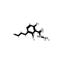 CCCCc1ccc(F)c(C(=O)NN)c1F